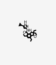 CCc1cc(CC)c2c(c1C(=O)Nc1cc(C3CC3)[nH]n1)CC(CC)(CC)C2=O